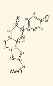 COCc1cc2c(s1)CCc1cc(=O)n(-c3ccc(Cl)cc3)nc1-2